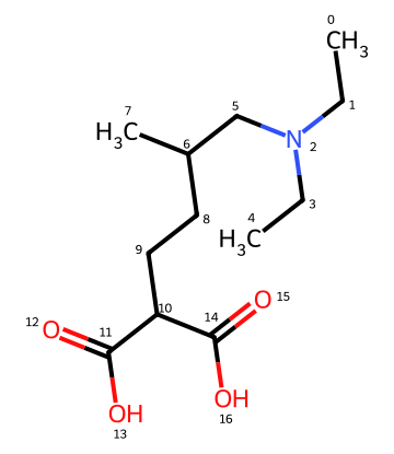 CCN(CC)CC(C)CCC(C(=O)O)C(=O)O